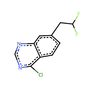 FC(F)Cc1ccc2c(Cl)ncnc2c1